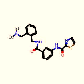 CCN(CC)Cc1ccccc1CNC(=O)c1cccc(NC(=O)c2nccs2)c1